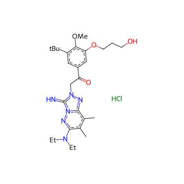 CCN(CC)c1nn2c(=N)n(CC(=O)c3cc(OCCCO)c(OC)c(C(C)(C)C)c3)nc2c(C)c1C.Cl